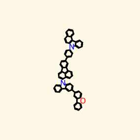 c1ccc2c(c1)ccc1c2c2ccccc2n1-c1ccc(-c2ccc3c(c2)-c2cccc4c(-n5c6ccccc6c6cc(-c7ccc8oc9ccccc9c8c7)ccc65)ccc-3c24)cc1